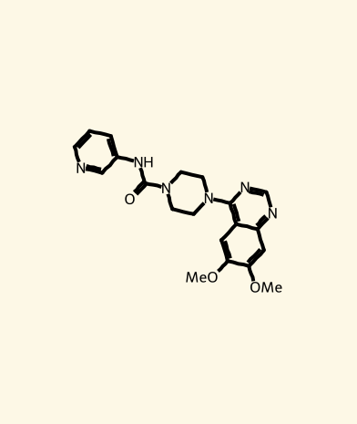 COc1cc2ncnc(N3CCN(C(=O)Nc4cccnc4)CC3)c2cc1OC